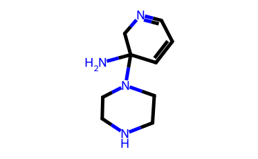 NC1(N2CCNCC2)C=CC=NC1